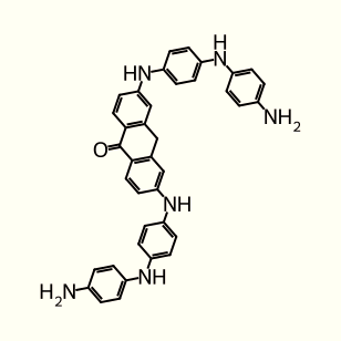 Nc1ccc(Nc2ccc(Nc3ccc4c(c3)Cc3cc(Nc5ccc(Nc6ccc(N)cc6)cc5)ccc3C4=O)cc2)cc1